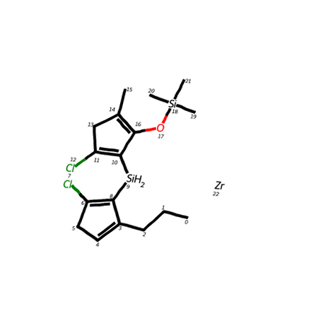 CCCC1=CCC(Cl)=C1[SiH2]C1=C(Cl)CC(C)=C1O[Si](C)(C)C.[Zr]